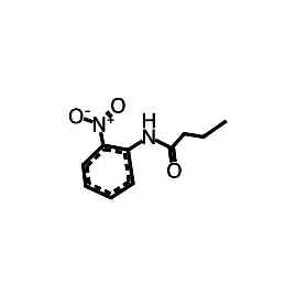 CCCC(=O)Nc1ccccc1[N+](=O)[O-]